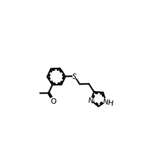 CC(=O)c1cccc(SCCc2c[nH]cn2)c1